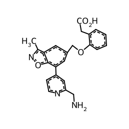 Cc1noc2c(-c3ccnc(CN)c3)cc(COc3ccccc3CC(=O)O)cc12